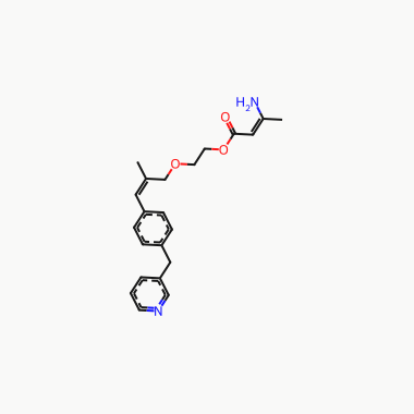 CC(=Cc1ccc(Cc2cccnc2)cc1)COCCOC(=O)/C=C(/C)N